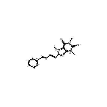 Cn1c(=O)c2c(nc(C=CC=Cc3ccccc3)n2C)n(C)c1=O